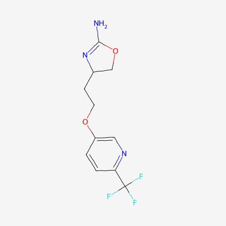 NC1=NC(CCOc2ccc(C(F)(F)F)nc2)CO1